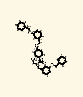 CCOC(=O)CN(Cc1cccc(OCc2ccccc2)c1)C(=O)c1ccc(OCc2cccc(OCc3ccccc3)c2)cc1